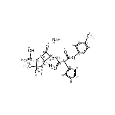 Cc1ccc(OC(=O)C(C(=O)N[C@@H]2C(=O)N3[C@@H]2SC(C)(C)[C@@H]3C(=O)O)c2ccsc2)cc1.[NaH]